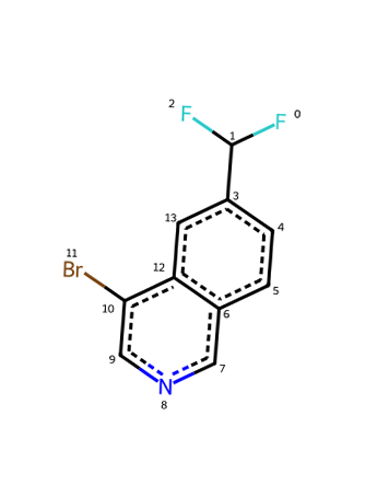 FC(F)c1ccc2cncc(Br)c2c1